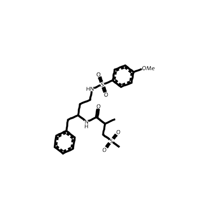 COc1ccc(S(=O)(=O)NCCC(Cc2ccccc2)NC(=O)C(C)CS(C)(=O)=O)cc1